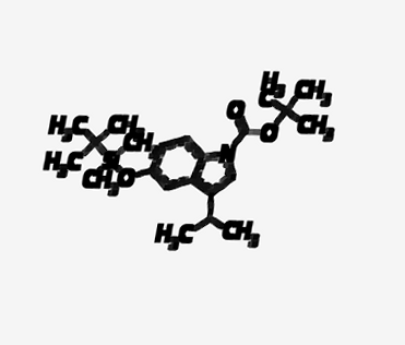 CC(C)c1cn(C(=O)OC(C)(C)C)c2ccc(O[Si](C)(C)C(C)(C)C)cc12